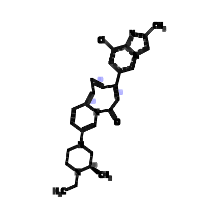 CCN1CCN(C2=CN3C(=O)\C=C(c4cc(Cl)c5nc(C)cn5c4)/C=C/C=C/3C=C2)C[C@H]1C